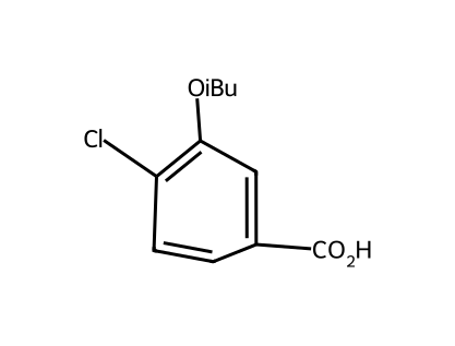 CC(C)COc1cc(C(=O)O)ccc1Cl